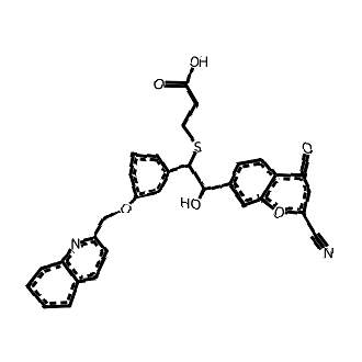 N#Cc1cc(=O)c2ccc(C(O)C(SCCC(=O)O)c3cccc(OCc4ccc5ccccc5n4)c3)cc2o1